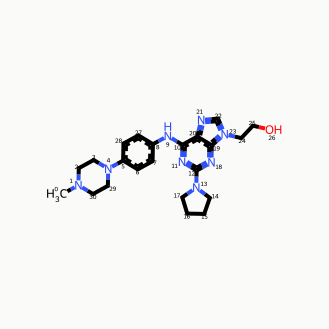 CN1CCN(c2ccc(Nc3nc(N4CCCC4)nc4c3ncn4CCO)cc2)CC1